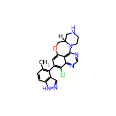 Cc1ccc2[nH]ncc2c1-c1cc2c3c(ncnc3c1Cl)N1CCNC[C@H]1CO2